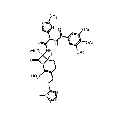 CO[C@@]1(NC(=O)C(NC(=O)c2cc(OC(C)=O)c(OC(C)=O)c(OC(C)=O)c2)c2csc(N)n2)C(=O)N2C(C(=O)O)=C(CSc3nnnn3C)CS[C@H]21